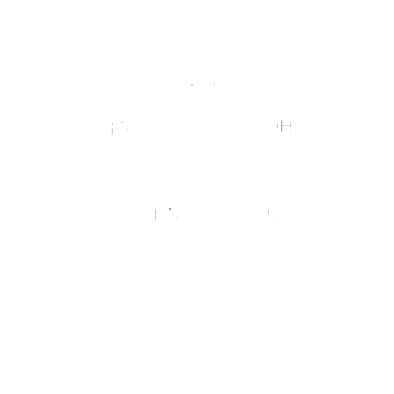 CC(O)C(NC1=CCC1)C(=O)O